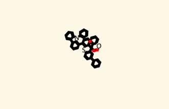 c1ccc(-c2ccc3c(c2)C2(c4ccccc4Oc4ccccc42)c2cccc(-c4cccc5c6ccccc6n(-c6ccccc6)c45)c2S3)cc1